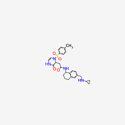 Cc1ccc(S(=O)(=O)N2C=CNC(=O)C2CC(=O)NC2CCCc3cc(CNC4CC4)ccc32)cc1